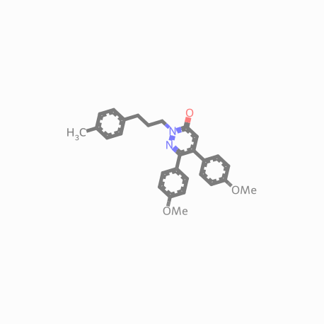 COc1ccc(-c2cc(=O)n(CCCc3ccc(C)cc3)nc2-c2ccc(OC)cc2)cc1